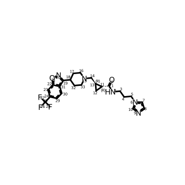 O=C(NCCCn1ccnc1)[C@@H]1C[C@H]1CN1CCC(c2noc3cc(C(F)(F)F)ccc23)CC1